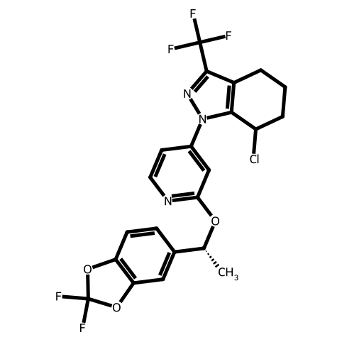 C[C@@H](Oc1cc(-n2nc(C(F)(F)F)c3c2C(Cl)CCC3)ccn1)c1ccc2c(c1)OC(F)(F)O2